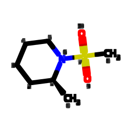 C[C@H]1CCCCN1S(C)(=O)=O